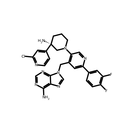 Nc1ncnc2c1ncn2Cc1cc(-c2ccc(F)c(F)c2)ncc1N1CCC[C@](N)(c2ccnc(Cl)c2)C1